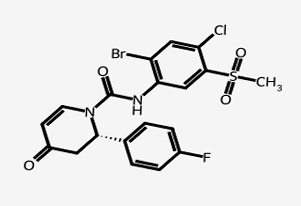 CS(=O)(=O)c1cc(NC(=O)N2C=CC(=O)C[C@H]2c2ccc(F)cc2)c(Br)cc1Cl